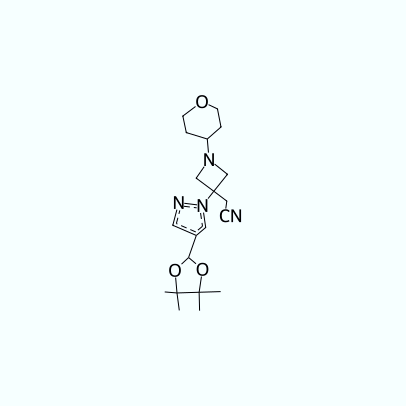 CC1(C)OC(c2cnn(C3(CC#N)CN(C4CCOCC4)C3)c2)OC1(C)C